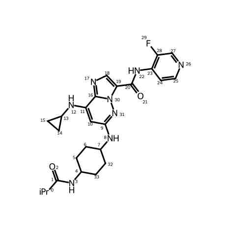 CC(C)C(=O)NC1CCC(Nc2cc(NC3CC3)c3ncc(C(=O)Nc4ccncc4F)n3n2)CC1